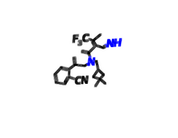 C=C(CN(CC1CC(C)(C)C1)C(=C)/C(C=N)=C(/C)C(F)(F)F)c1ccccc1C#N